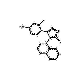 Cc1cc(N)ccc1-c1n[nH]c(=S)n1-c1cccc2ccccc12